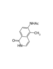 CC(=O)Nc1ccc2c(=O)[nH]ccc2c1C